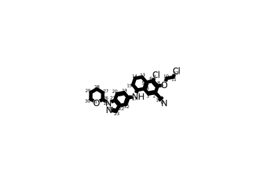 N#Cc1cc2c(c(Cl)c1OCCCl)CCCC2Nc1ccc2c(cnn2C2CCCCO2)c1